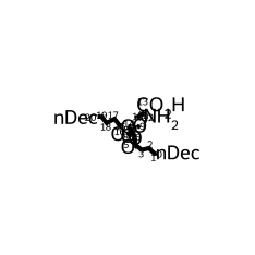 CCCCCCCCCCCCCC(=O)OP(=O)(OC[C@H](N)C(=O)O)OC(=O)CCCCCCCCCCCCC